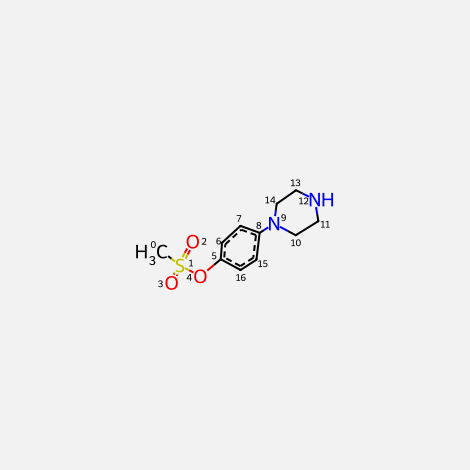 CS(=O)(=O)Oc1ccc(N2CCNCC2)cc1